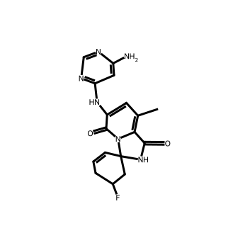 Cc1cc(Nc2cc(N)ncn2)c(=O)n2c1C(=O)NC21C=CCC(F)C1